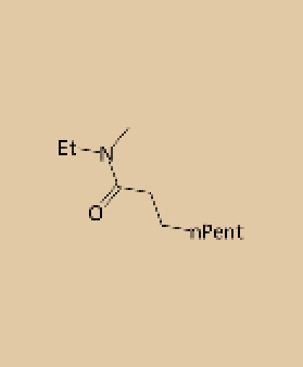 CCCCCCCC(=O)N(C)CC